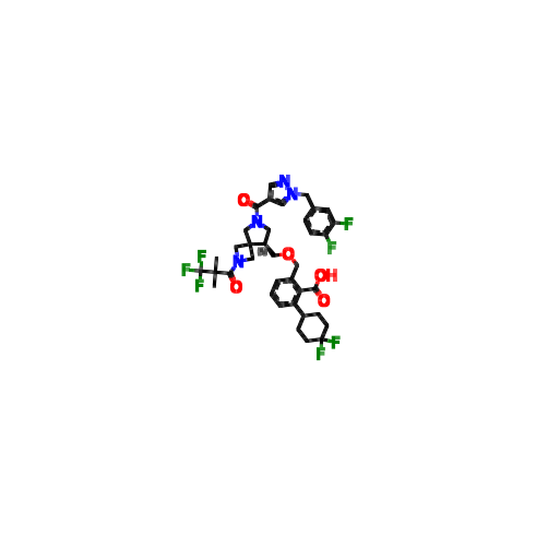 CC(C)(C(=O)N1CC2(CN(C(=O)c3cnn(Cc4ccc(F)c(F)c4)c3)C[C@H]2COCc2cccc(C3CCC(F)(F)CC3)c2C(=O)O)C1)C(F)(F)F